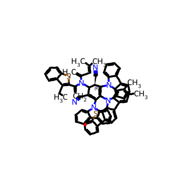 C=C(C=C(C)C)N(C(=C)c1sc2ccccc2c1CC)C1C(C#N)=C(n2c3ccccc3c3ccccc32)C(n2c3cc(C)c(C)cc3c3ccc4c5ccccc5sc4c32)=C(n2c3ccccc3c3ccccc32)[C@@H]1C#N